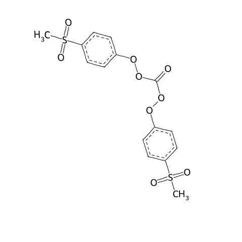 CS(=O)(=O)c1ccc(OOC(=O)OOc2ccc(S(C)(=O)=O)cc2)cc1